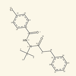 CC(C)(C)N(NC(=O)c1ccc(Cl)cc1)C(=O)CCc1ccccc1